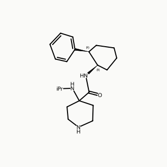 CC(C)NC1(C(=O)N[C@@H]2CCCC[C@@H]2c2ccccc2)CCNCC1